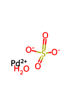 O.O=S(=O)([O-])[O-].[Pd+2]